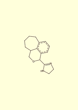 c1cc2c3c(c1)C(C1=NCCN1)OCC3CCCC2